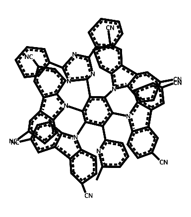 Cc1cccc(-c2c(-n3c4ccc(C#N)cc4c4cc(C#N)ccc43)c(-n3c4ccc(C#N)cc4c4cc(C#N)ccc43)c(-c3nc(-c4ccccc4)nc(-c4ccccc4)n3)c(-n3c4ccc(C#N)cc4c4cc(C#N)ccc43)c2-n2c3ccc(C#N)cc3c3cc(C#N)ccc32)n1